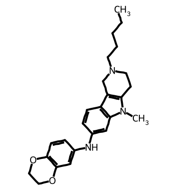 CCCCCN1CCc2c(c3ccc(Nc4ccc5c(c4)OCCO5)cc3n2C)C1